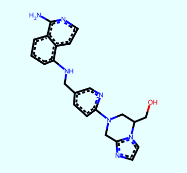 Nc1nccc2c(NCc3ccc(N4Cc5nccn5C(CO)C4)nc3)cccc12